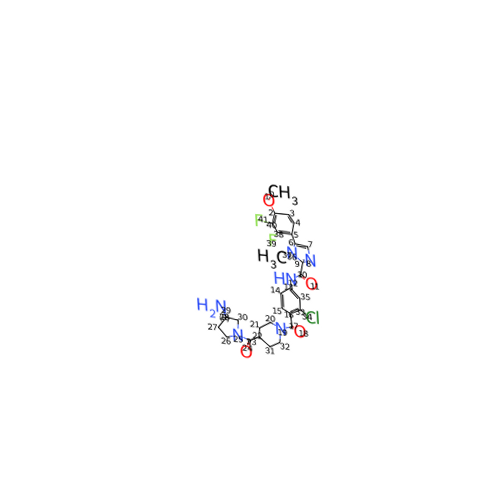 COc1ccc(-c2cnc(C(=O)Nc3ccc(C(=O)N4CCC(C(=O)N5CC[C@@H](N)C5)CC4)c(Cl)c3)n2C)c(F)c1F